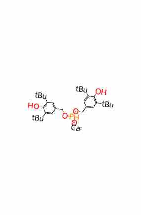 CC(C)(C)c1cc(CO[PH](=O)OCc2cc(C(C)(C)C)c(O)c(C(C)(C)C)c2)cc(C(C)(C)C)c1O.[Ca]